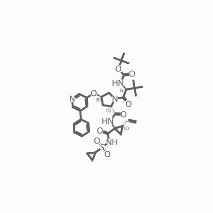 C=C[C@@H]1C[C@]1(NC(=O)[C@@H]1C[C@@H](Oc2cncc(-c3ccccc3)c2)CN1C(=O)[C@@H](NC(=O)OC(C)(C)C)C(C)(C)C)C(=O)NS(=O)(=O)C1CC1